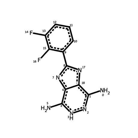 Nc1n[nH]c(N)c2nc(-c3cccc(F)c3F)nc1-2